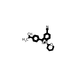 CC(C)c1ccc(-c2nn(C3CCCCO3)c3ccc(C#N)cc23)cc1